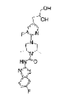 C[C@@H]1CN(c2ncc(C[C@H](O)CO)cc2F)C[C@H](C)N1C(=O)Nc1nc2ccc(F)cc2s1